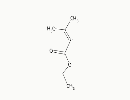 CCOC(=O)[C]=C(C)C